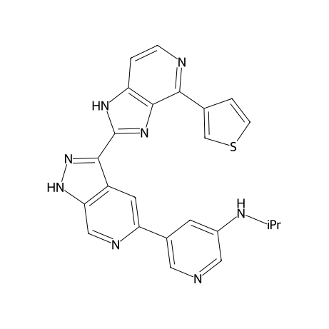 CC(C)Nc1cncc(-c2cc3c(-c4nc5c(-c6ccsc6)nccc5[nH]4)n[nH]c3cn2)c1